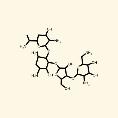 CC(N)C1CC(O)C(N)C(OC2C(N)CC(N)C(O)C2OC2OC(CO)C(OC3OC(CN)C(O)C(O)C3N)C2O)O1